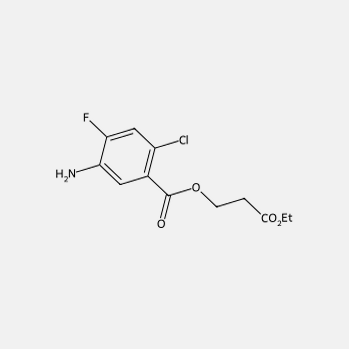 CCOC(=O)CCOC(=O)c1cc(N)c(F)cc1Cl